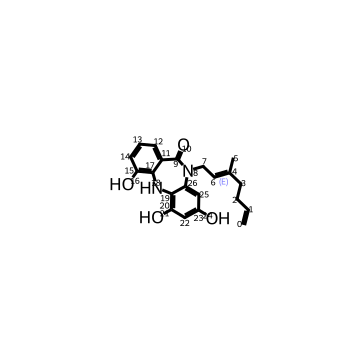 C=CCC/C(C)=C/CN1C(=O)c2cccc(O)c2Nc2c(O)cc(O)cc21